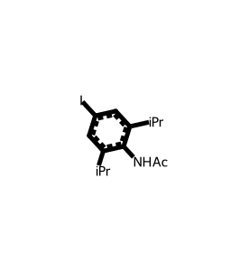 CC(=O)Nc1c(C(C)C)cc(I)cc1C(C)C